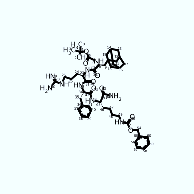 CC(C)(C)OC(=O)N[C@@H](CC12CC3CC(CC(C3)C1)C2)C(=O)N[C@H](CCCNC(=N)N)C(=O)N[C@@H](Cc1ccccc1)C(=O)N[C@@H](CCCCNC(=O)OCc1ccccc1)C(N)=O